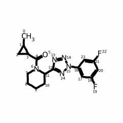 CC1CC1C(=O)N1CCCCC1c1nnn(-c2cc(F)cc(F)c2)n1